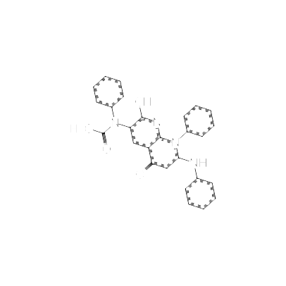 CC(=O)N(c1ccccc1)c1cc2c(=O)cc(Nc3ccccc3)n(-c3ccccc3)c2nc1C